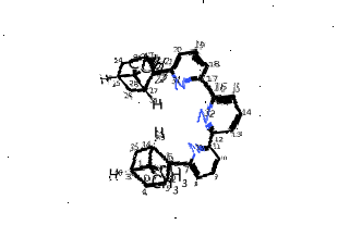 CC1(C)[C@H]2CCC(c3cccc(-c4cccc(-c5cccc(C6CC[C@H]7C[C@@H]6C7(C)C)n5)n4)n3)[C@@H]1C2